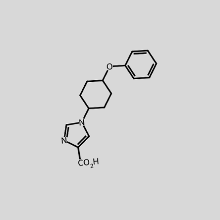 O=C(O)c1cn(C2CCC(Oc3ccccc3)CC2)cn1